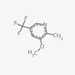 COc1cc(C(F)(F)F)cnc1C